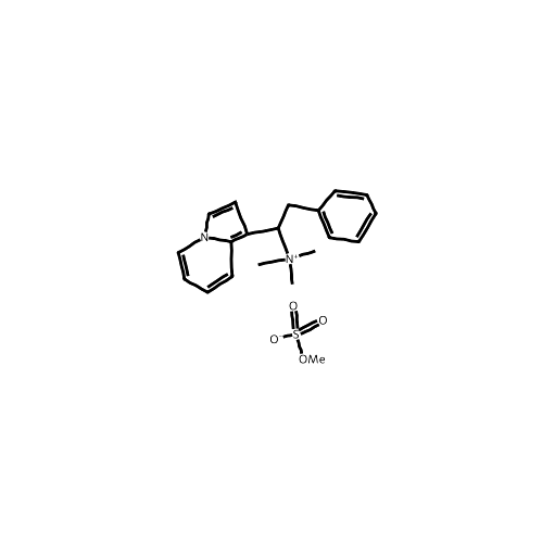 COS(=O)(=O)[O-].C[N+](C)(C)C(Cc1ccccc1)c1ccn2ccccc12